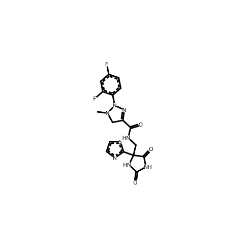 CN1CC(C(=O)NCC2(c3nccs3)NC(=O)NC2=O)=NN1c1ccc(F)cc1F